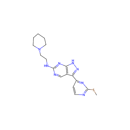 CSc1nccc(-c2n[nH]c3nc(NCCN4CCCCC4)ncc23)n1